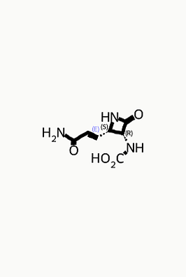 NC(=O)/C=C/[C@@H]1NC(=O)[C@@H]1NC(=O)O